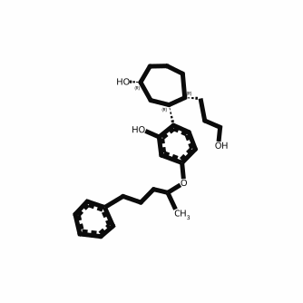 CC(CCCc1ccccc1)Oc1ccc([C@@H]2C[C@H](O)CCC[C@@H]2CCCO)c(O)c1